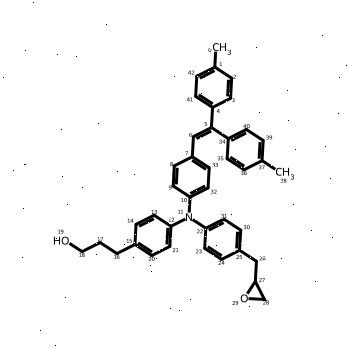 Cc1ccc(C(=Cc2ccc(N(c3ccc(CCCO)cc3)c3ccc(CC4CO4)cc3)cc2)c2ccc(C)cc2)cc1